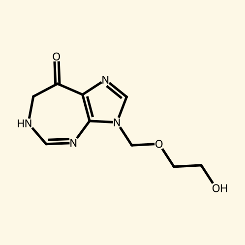 O=C1CNC=Nc2c1ncn2COCCO